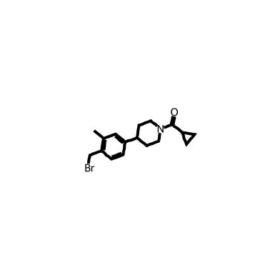 Cc1cc(C2CCN(C(=O)C3CC3)CC2)ccc1CBr